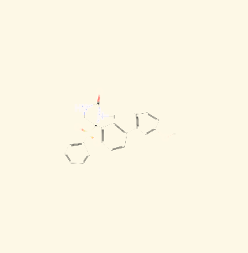 CCOc1ccc(F)c(-c2cccc(C3(S(=O)(=O)c4ccccc4)CNC(=O)N3C(C)C)c2)c1